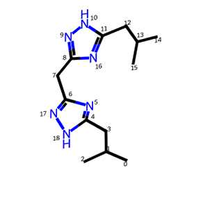 CC(C)Cc1nc(Cc2n[nH]c(CC(C)C)n2)n[nH]1